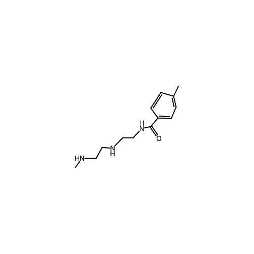 CNCCNCCNC(=O)c1ccc(C)cc1